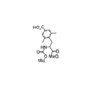 COC(=O)C(Cc1c(C)cc(C(=O)O)cc1C)NC(=O)OC(C)(C)C